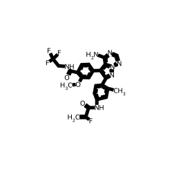 C=C(F)C(=O)Nc1ccc(-c2nn3ncnc(N)c3c2-c2ccc(C(=O)NCC(F)(F)F)c(OC)c2)c(C)c1